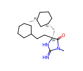 C[C@@H]1CCC[C@H](C[C@@]2(CCC3CCCCC3)NC(=N)N(C)C2=O)C1